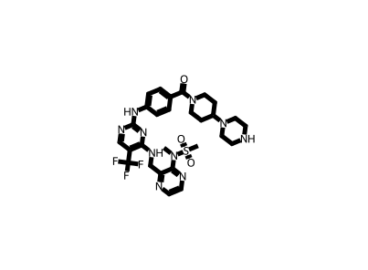 CN(c1nccnc1CNc1nc(Nc2ccc(C(=O)N3CCC(N4CCNCC4)CC3)cc2)ncc1C(F)(F)F)S(C)(=O)=O